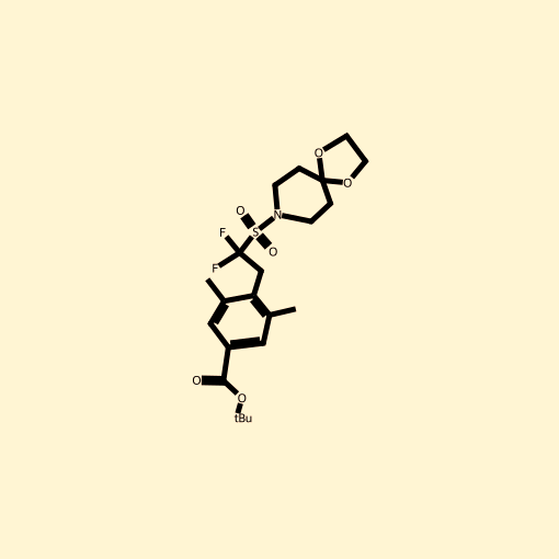 Cc1cc(C(=O)OC(C)(C)C)cc(C)c1CC(F)(F)S(=O)(=O)N1CCC2(CC1)OCCO2